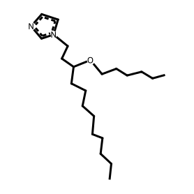 CCCCCCCCCC(CCn1ccnc1)OCCCCCC